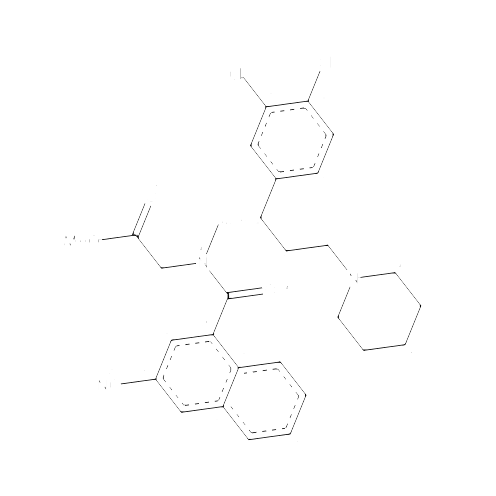 COC(=O)CN(C[C@@H](CCN1CCCCC1)c1ccc(Cl)c(Cl)c1)C(=O)c1cc(C#N)cc2ccccc12